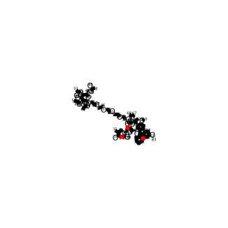 COc1ccc(C(OC[C@H]2O[C@@H](n3cc(C)c(=O)[nH]c3=O)CC2OP(=O)(OCCOCCOCCOCCOCCO[C@@H]2O[C@H](COC(C)=O)[C@H](OC(C)=O)[C@H](OC(C)=O)[C@@H]2NC(C)=O)N(C(C)C)C(C)C)(c2ccccc2)c2ccc(OC)cc2)cc1